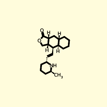 C[C@H]1CCC[C@H](/C=C/[C@@H]2[C@@H]3CCCC[C@H]3C[C@H]3C(=O)OC[C@@H]23)N1